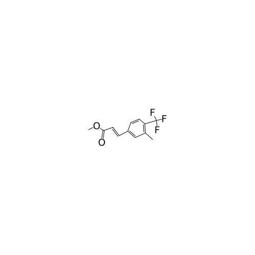 COC(=O)C=Cc1ccc(C(F)(F)F)c(C)c1